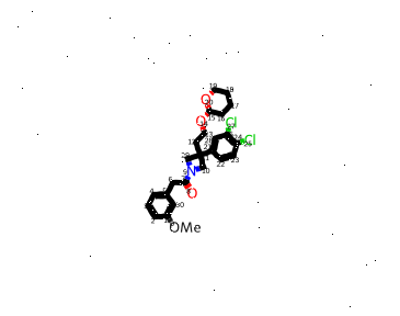 COc1cccc(CC(=O)N2CC(CCOC3CCCCO3)(c3ccc(Cl)c(Cl)c3)C2)c1